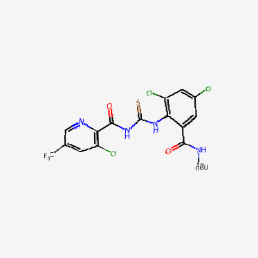 CCCCNC(=O)c1cc(Cl)cc(Cl)c1NC(=S)NC(=O)c1ncc(C(F)(F)F)cc1Cl